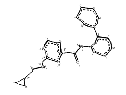 O=C(Nc1cnccc1-c1ccccc1)c1ccnc(NCC2CC2)n1